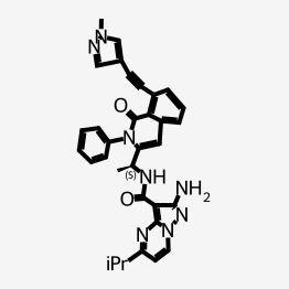 CC(C)c1ccn2nc(N)c(C(=O)N[C@@H](C)c3cc4cccc(C#Cc5cnn(C)c5)c4c(=O)n3-c3ccccc3)c2n1